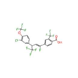 O=C(O)c1ccc(C(F)=CC(c2ccc(OC(F)(F)F)c(Cl)c2)C(F)(F)F)cc1C(F)(F)F